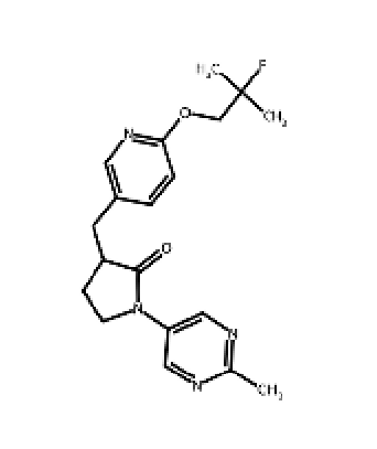 Cc1ncc(N2CCC(Cc3ccc(OCC(C)(C)F)nc3)C2=O)cn1